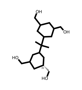 CC(C)(C1CC(CO)CC(CO)C1)C1CC(CO)C[C@@H](CO)C1